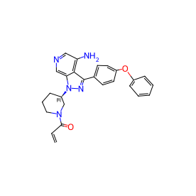 C=CC(=O)N1CCC[C@@H](n2nc(-c3ccc(Oc4ccccc4)cc3)c3c(N)cncc32)C1